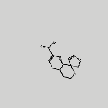 O=NC(=O)C1=CCN2C=COC3(C=COC3)C2=N1